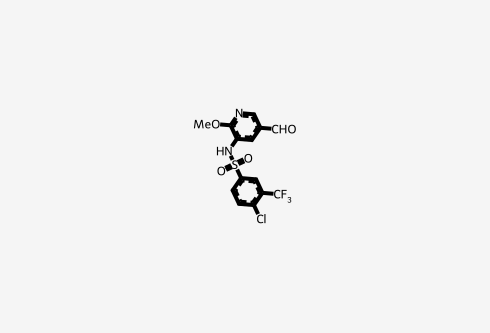 COc1ncc(C=O)cc1NS(=O)(=O)c1ccc(Cl)c(C(F)(F)F)c1